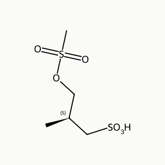 C[C@@H](COS(C)(=O)=O)CS(=O)(=O)O